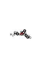 CN(C)c1ccc(SCCCC23OC24C=CC=CC42OC2(Oc2ccc4ccc(=O)oc4c2)c2ccccc23)cc1